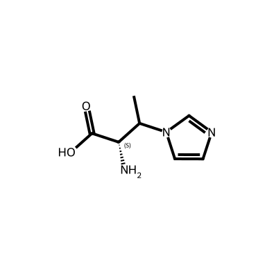 CC([C@H](N)C(=O)O)n1ccnc1